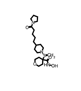 C=S(N1CCC(CCCCC(=O)N2CCCC2)CC1)C1(C(=O)NO)CCOCC1